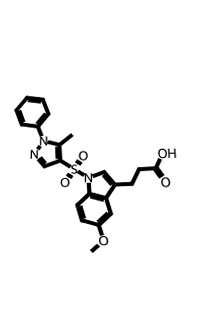 COc1ccc2c(c1)c(CCC(=O)O)cn2S(=O)(=O)c1cnn(-c2ccccc2)c1C